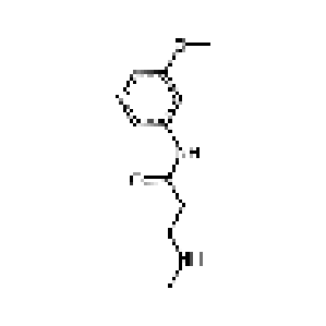 CNCCC(=O)Nc1cncc(OC)c1